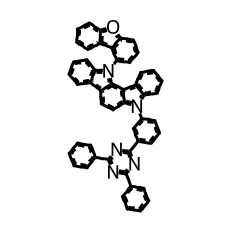 c1ccc(-c2nc(-c3ccccc3)nc(-c3cccc(-n4c5ccccc5c5c4ccc4c6ccccc6n(-c6cccc7oc8ccccc8c67)c45)c3)n2)cc1